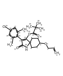 C=CCOC1CCC2(CC1)NC(=O)C(c1c(C)cc(Cl)cc1C)=C2OC(=O)C(C)(C)C